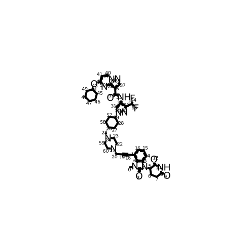 Cn1c(=O)n(C2CCC(=O)NC2=O)c2cccc(C#CCN3CCN(C[C@H]4CC[C@H](n5cc(NC(=O)c6cnn7ccc(OC8CCCCC8)nc67)c(C(F)F)n5)CC4)CC3)c21